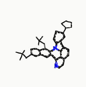 CC(C)(C)Cc1ccc2c(CC(C)(C)C)c3c(cc2c1)c1nccc2ccc4c5cc(C6CCCC6)ccc5n3c4c21